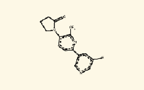 O=C1CCCN1c1ccc(-c2cncc(F)c2)nc1C(F)(F)F